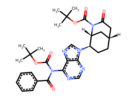 CC(C)(C)OC(=O)N(C(=O)c1ccccc1)c1ncnc2c1ncn2[C@@H]1CC[C@H]2CC(=O)N(C(=O)OC(C)(C)C)[C@@H]1C2